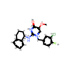 COc1cn(Cc2ccc(F)c(Cl)c2)c(N[C@@H]2CCCc3ccccc32)nc1=O